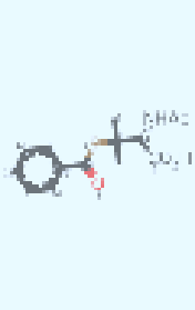 CC(=O)N[C@H](C(=O)O)C(C)(C)SC(=O)c1ccccc1